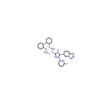 Cc1cccc(-c2nc(CNCc3ccccc3-c3ccccc3CNI)[nH]c2-c2ccc3ncnn3c2)n1